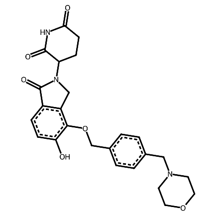 O=C1CCC(N2Cc3c(ccc(O)c3OCc3ccc(CN4CCOCC4)cc3)C2=O)C(=O)N1